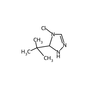 CC(C)(C)C1NN=CN1Cl